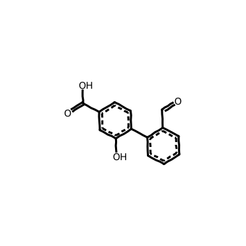 O=Cc1ccccc1-c1ccc(C(=O)O)cc1O